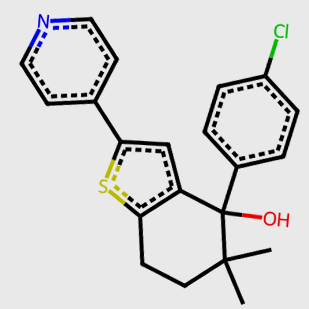 CC1(C)CCc2sc(-c3ccncc3)cc2C1(O)c1ccc(Cl)cc1